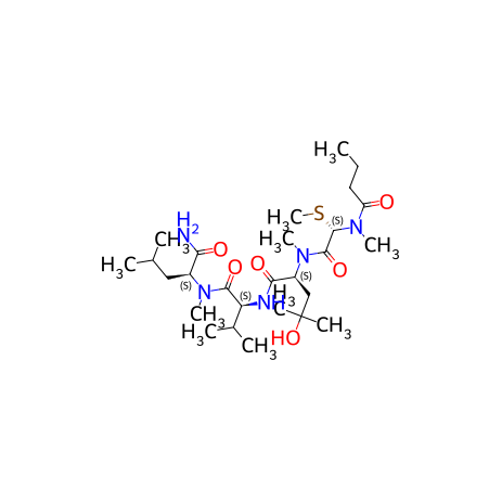 CCCC(=O)N(C)[C@@H](SC)C(=O)N(C)[C@@H](CC(C)(C)O)C(=O)N[C@H](C(=O)N(C)[C@@H](CC(C)C)C(N)=O)C(C)C